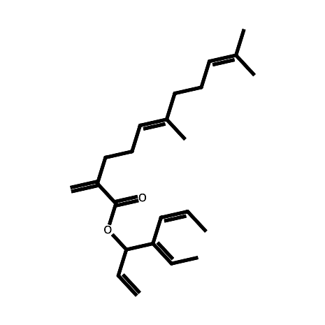 C=CC(OC(=O)C(=C)CC/C=C(\C)CCC=C(C)C)C(/C=C\C)=C/C